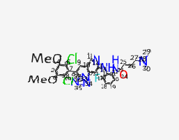 COc1cc(OC)c(Cl)c(-c2cc3cnc(Nc4c(F)cccc4NC(=O)/C=C/CN(C)C)cc3n3ncnc23)c1Cl